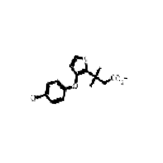 CC(C)(CC(=O)O)c1sccc1Oc1ccc(Cl)cc1